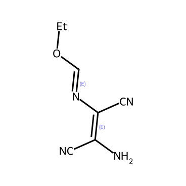 CCO/C=N/C(C#N)=C(/N)C#N